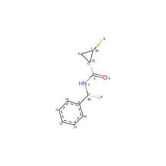 C[C@@H](NC(=O)[C@@H]1C[C@H]1F)c1ccccc1